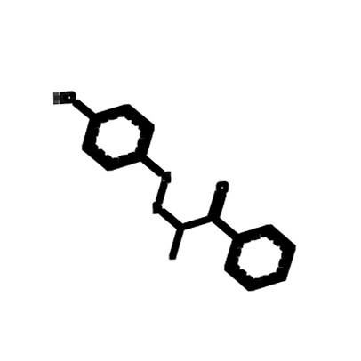 CC(SSc1ccc(O)cc1)C(=O)c1ccccc1